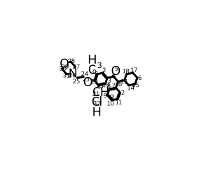 Cc1cc(C(=O)C(c2ccccc2)C2CCCCC2)cc(C)c1OCCN1CCOCC1.Cl